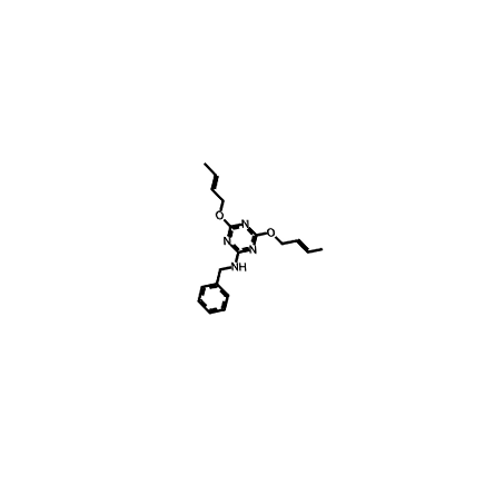 C/C=C/COc1nc(NCc2ccccc2)nc(OC/C=C/C)n1